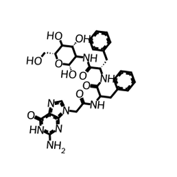 Nc1nc2c(ncn2CC(=O)NC(Cc2ccccc2)C(=O)N[C@@H](Cc2ccccc2)C(=O)NC2[C@@H](O)C(O)[C@@H](CO)O[C@H]2O)c(=O)[nH]1